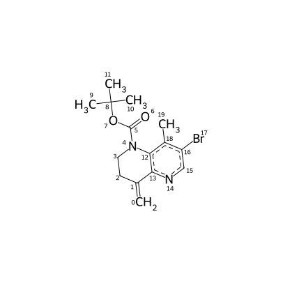 C=C1CCN(C(=O)OC(C)(C)C)c2c1ncc(Br)c2C